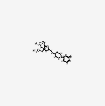 CCC1(CC)CC(CCN2CCN(c3cccc(F)c3)CC2)OC1=O